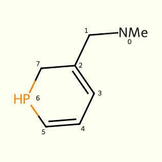 CNCC1=CC=CPC1